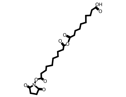 O=C(O)CCCCCCCCC(=O)OC(=O)CCCCCCCCC(=O)ON1C(=O)CCC1=O